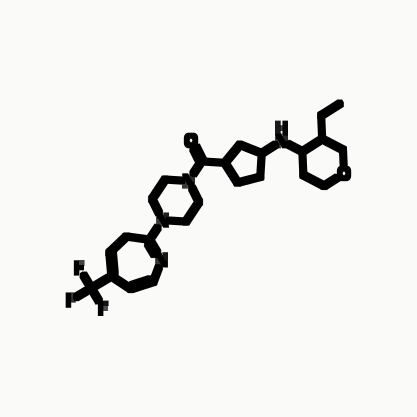 CCC1COCCC1NC1CCC(C(=O)N2CCN(C3=NC=CC(C(F)(F)F)=CC3)CC2)C1